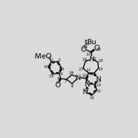 COc1ccc(C(=O)C2CN(c3c4c(nc5ccnn35)CCN(C(=O)OC(C)(C)C)CC4)C2)cc1